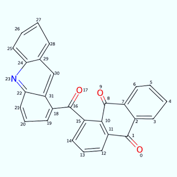 O=C1c2ccccc2C(=O)c2c1cccc2C(=O)c1cccc2nc3ccccc3cc12